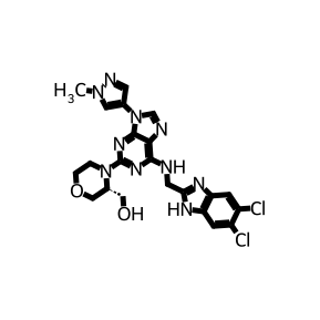 Cn1cc(-n2cnc3c(NCc4nc5cc(Cl)c(Cl)cc5[nH]4)nc(N4CCOC[C@H]4CO)nc32)cn1